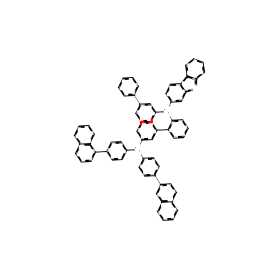 c1ccc(-c2cccc(N(c3ccc4c(c3)oc3ccccc34)c3ccccc3-c3cccc(N(c4ccc(-c5ccc6ccccc6c5)cc4)c4ccc(-c5cccc6ccccc56)cc4)c3)c2)cc1